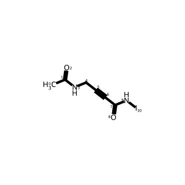 CC(=O)NCC#CC(=O)NI